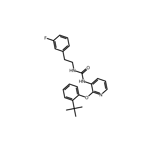 CC(C)(C)c1ccccc1Oc1ncccc1NC(=O)NCCc1cccc(F)c1